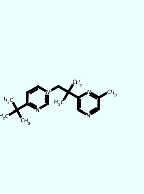 Cc1cncc(C(C)(C)C[n+]2ccc(C(C)(C)C)nc2)n1